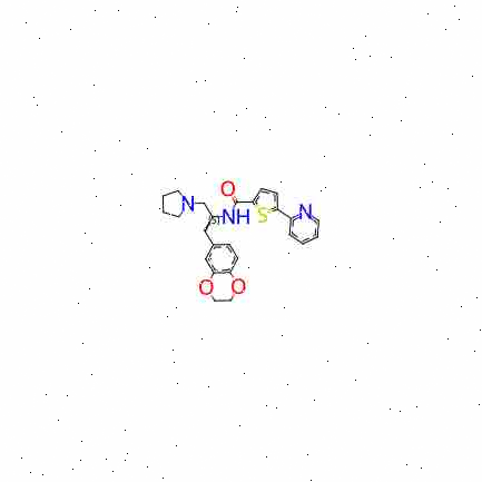 O=C(N[C@@H](Cc1ccc2c(c1)OCCO2)CN1CCCC1)c1ccc(-c2ccccn2)s1